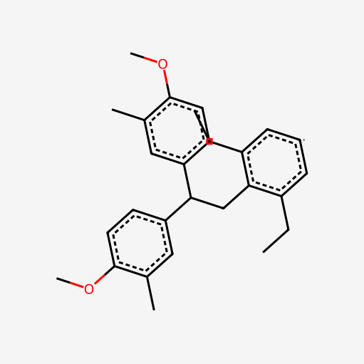 CCc1c[c]cc(CC)c1CC(c1ccc(OC)c(C)c1)c1ccc(OC)c(C)c1